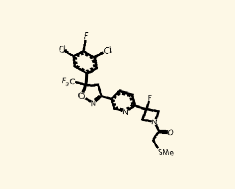 CSCC(=O)N1CC(F)(c2ccc(C3=NOC(c4cc(Cl)c(F)c(Cl)c4)(C(F)(F)F)C3)cn2)C1